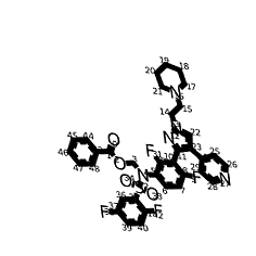 O=C(OCN(c1ccc(F)c(-c2nn(CCN3CCCCC3)cc2-c2ccncc2)c1F)S(=O)(=O)c1cc(F)ccc1F)c1ccccc1